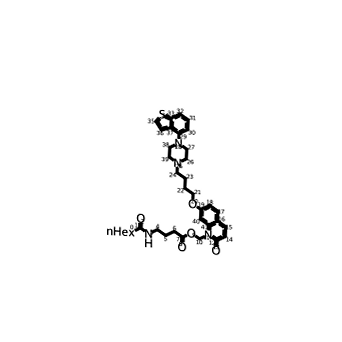 CCCCCCC(=O)NCCCC(=O)OCn1c(=O)ccc2ccc(OCCCCN3CCN(c4cccc5sccc45)CC3)cc21